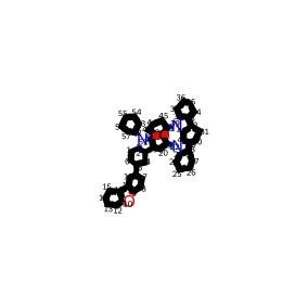 C1=CC2C(C=C1c1ccc3oc4ccccc4c3c1)c1cc(-n3c4ccccc4c4ccc5c6ccccc6n(-c6ccccc6)c5c43)ccc1N2c1ccccc1